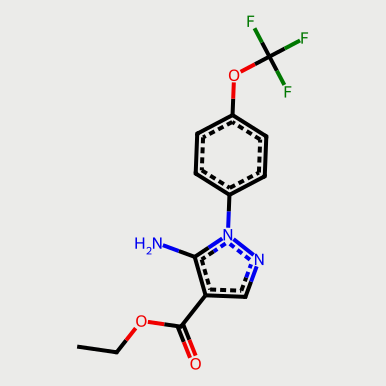 CCOC(=O)c1cnn(-c2ccc(OC(F)(F)F)cc2)c1N